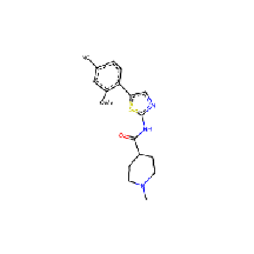 COc1cc(C#N)ccc1-c1cnc(NC(=O)C2CCN(C)CC2)s1